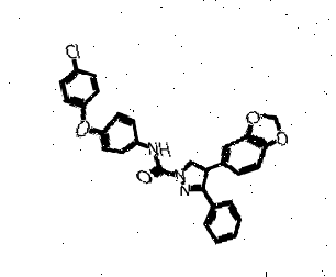 O=C(Nc1ccc(Oc2ccc(Cl)cc2)cc1)N1CC(c2ccc3c(c2)OCO3)C(c2ccccc2)=N1